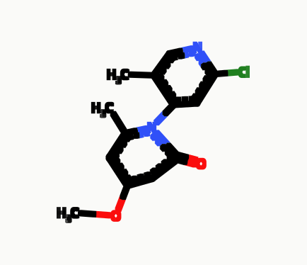 COc1cc(C)n(-c2cc(Cl)ncc2C)c(=O)c1